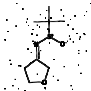 CC(C)(C)[S+]([O-])N=C1CCOC1